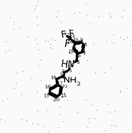 N[C@@H]([CH]CNCc1cccc(C(F)(F)F)c1)Cc1ccccc1